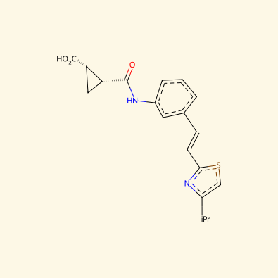 CC(C)c1csc(C=Cc2cccc(NC(=O)[C@@H]3C[C@@H]3C(=O)O)c2)n1